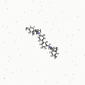 Fc1ccc(N/N=C/c2ccc(-c3cccc(/C=N/Nc4ccc(F)cc4F)c3)cc2)c(F)c1